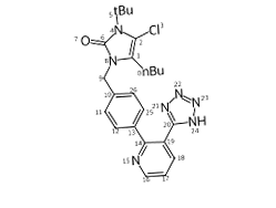 CCCCc1c(Cl)n(C(C)(C)C)c(=O)n1Cc1ccc(-c2ncccc2-c2nnn[nH]2)cc1